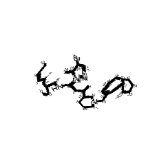 C=C(CC(NC/C(=C/C=C\C)CC)N1N=CC(Br)C1C)C1CCCN(Cc2cccc3c2CCC=C3)C1